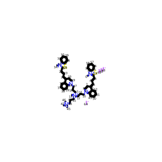 C[n+]1c(C=CC=C2C=CN(CCC[N+](C)(CCCN3C=CC(=CC=Cc4sc5ccccc5[n+]4C)c4ccccc43)CCC[N+](C)(C)C)c3ccccc32)sc2ccccc21.[I-].[I-].[I-].[I-]